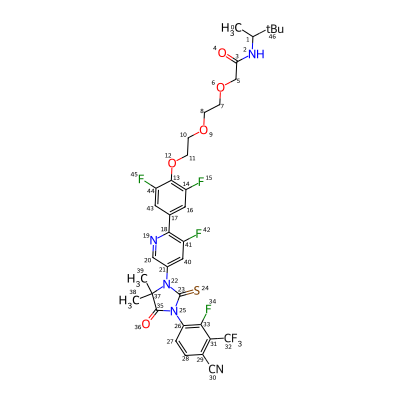 CC(NC(=O)COCCOCCOc1c(F)cc(-c2ncc(N3C(=S)N(c4ccc(C#N)c(C(F)(F)F)c4F)C(=O)C3(C)C)cc2F)cc1F)C(C)(C)C